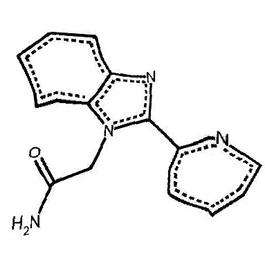 NC(=O)Cn1c(-c2ccccn2)nc2ccccc21